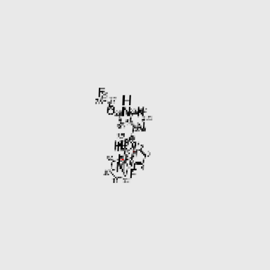 Oc1cccc(F)c1CN1C2CC1CN(c1ccc(-c3ncnc4[nH]c(OCCF)cc34)cn1)C2